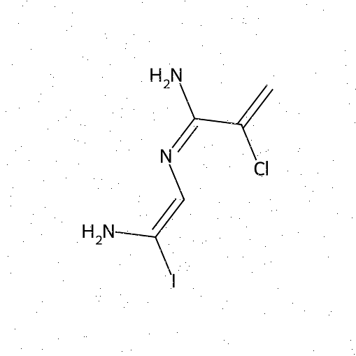 C=C(Cl)/C(N)=N\C=C(/N)I